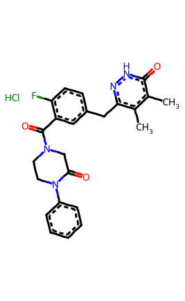 Cc1c(Cc2ccc(F)c(C(=O)N3CCN(c4ccccc4)C(=O)C3)c2)n[nH]c(=O)c1C.Cl